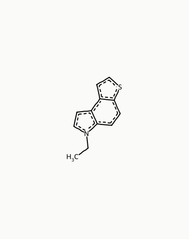 CCn1ccc2c3ccsc3ccc21